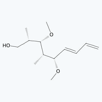 C=C/C=C/[C@H](OC)[C@H](C)[C@@H](OC)[C@@H](C)CO